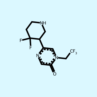 O=c1cnc(C2CNCCC2(F)F)cn1CC(F)(F)F